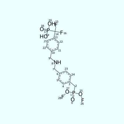 O=P(Cc1ccc(CNCc2ccc(C(F)(F)P(=O)(O)O)cc2)cc1)(OF)OF